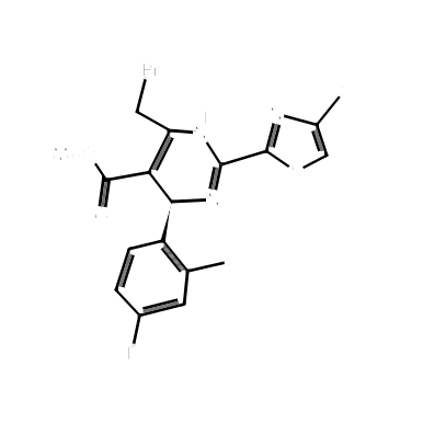 COC(=O)C1=C(CBr)NC(c2nc(C(F)(F)F)cs2)=N[C@H]1c1ccc(F)cc1Cl